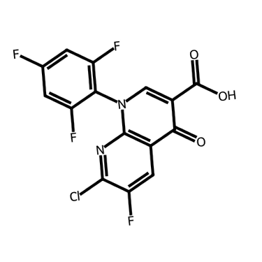 O=C(O)c1cn(-c2c(F)cc(F)cc2F)c2nc(Cl)c(F)cc2c1=O